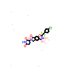 BC(c1ccc2c(c1)CN(C1(B)CCC(=O)NC1=O)C2=O)N(B)C(=O)C(F)(F)c1ccc(Cl)cc1